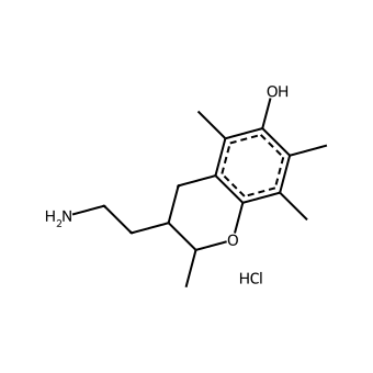 Cc1c(C)c2c(c(C)c1O)CC(CCN)C(C)O2.Cl